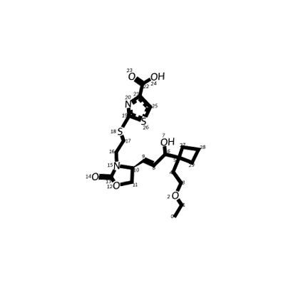 CCOCCC1(C(O)/C=C/[C@H]2COC(=O)N2CCSc2nc(C(=O)O)cs2)CCC1